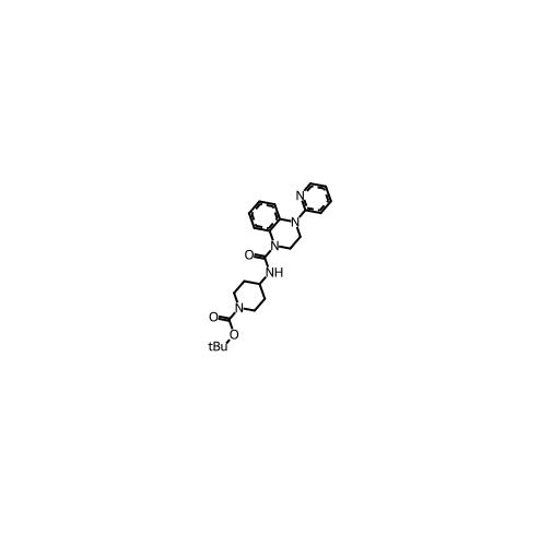 CC(C)(C)OC(=O)N1CCC(NC(=O)N2CCN(c3ccccn3)c3ccccc32)CC1